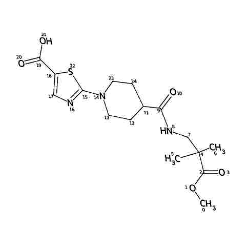 COC(=O)C(C)(C)CNC(=O)C1CCN(c2ncc(C(=O)O)s2)CC1